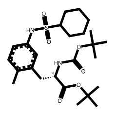 Cc1ccc(NS(=O)(=O)C2CCCCC2)cc1C[C@H](NC(=O)OC(C)(C)C)C(=O)OC(C)(C)C